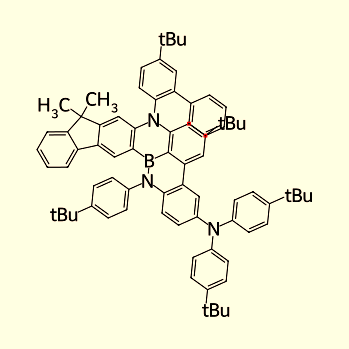 CC(C)(C)c1ccc(N2B3c4cc5c(cc4N(c4ccc(C(C)(C)C)cc4-c4ccccc4)c4cc(C(C)(C)C)cc(c43)-c3cc(N(c4ccc(C(C)(C)C)cc4)c4ccc(C(C)(C)C)cc4)ccc32)C(C)(C)c2ccccc2-5)cc1